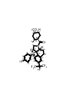 C[C@H]1C[C@H](C(=O)O)CC[C@H]1C(=O)N1CC[C@@]2(S(=O)(=O)c3ccc(F)cc3)c3ccc(C(F)(C(F)(F)F)C(F)(F)F)cc3CC[C@@H]12